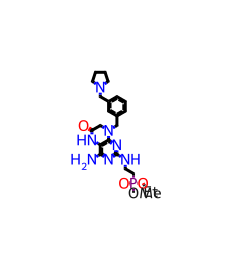 CCOP(=O)(CCNc1nc(N)c2c(n1)N(Cc1cccc(CN3CCCC3)c1)CC(=O)N2)OC